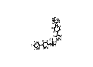 CC(C)(C)OC(=O)N1CC=C(c2cnn(CC(=O)Nc3ccc(-c4cnccn4)cn3)c2)CC1